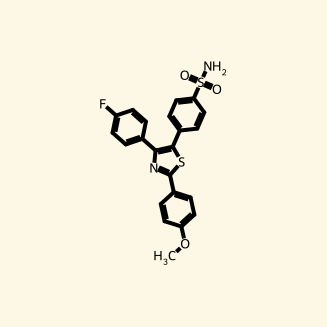 COc1ccc(-c2nc(-c3ccc(F)cc3)c(-c3ccc(S(N)(=O)=O)cc3)s2)cc1